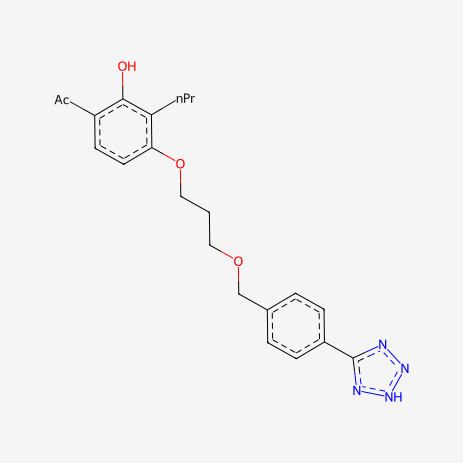 CCCc1c(OCCCOCc2ccc(-c3nn[nH]n3)cc2)ccc(C(C)=O)c1O